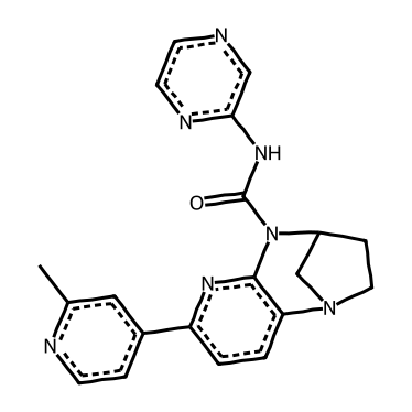 Cc1cc(-c2ccc3c(n2)N(C(=O)Nc2cnccn2)C2CCN3C2)ccn1